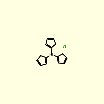 C1=CC[C]([Hf+]([C]2=CC=CC2)[C]2=CC=CC2)=C1.[Cl-]